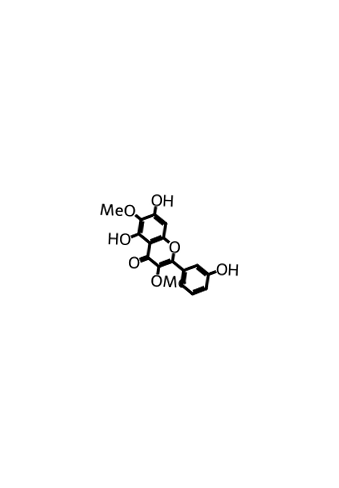 COc1c(O)cc2oc(-c3cccc(O)c3)c(OC)c(=O)c2c1O